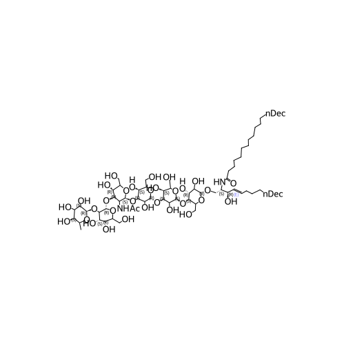 CCCCCCCCCCCCC/C=C/[C@@H](O)[C@H](CO[C@@H]1OC(CO)[C@@H](O[C@@H]2OC(CO)[C@H](O)[C@H](O[C@H]3OC(CO)[C@H](O)[C@H](O[C@@H]4OC(CO)[C@H](O)[C@H](O[C@@H]5OC(CO)[C@H](O)[C@H](O)C5O[C@H]5OC(C)[C@@H](O)C(O)[C@@H]5O)C4NC(C)=O)C3O)C2O)[C@H](O)C1O)NC(=O)CCCCCCCCCCCCCCCCCCCCC